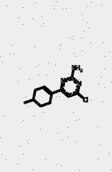 CC1CC=C(c2cc(Cl)nc(N)n2)CC1